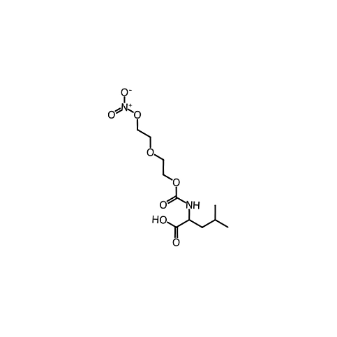 CC(C)CC(NC(=O)OCCOCCO[N+](=O)[O-])C(=O)O